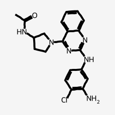 CC(=O)NC1CCN(c2nc(Nc3ccc(Cl)c(N)c3)nc3ccccc23)C1